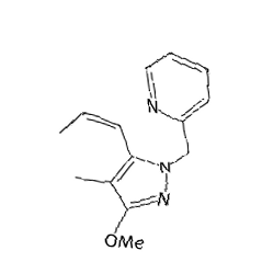 C/C=C\c1c(C)c(OC)nn1Cc1ccccn1